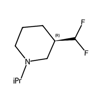 CC(C)N1CCC[C@@H](C(F)F)C1